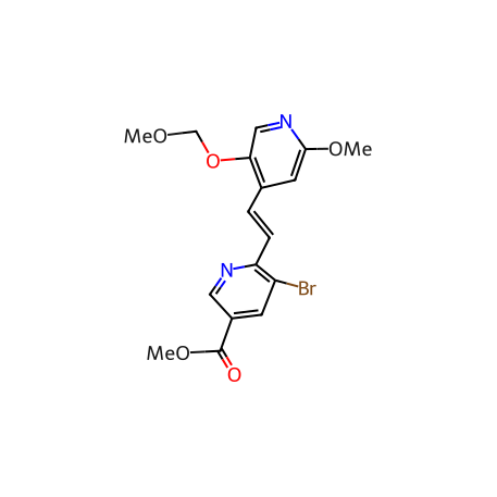 COCOc1cnc(OC)cc1C=Cc1ncc(C(=O)OC)cc1Br